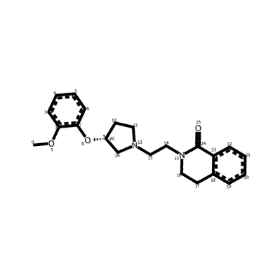 COc1ccccc1O[C@@H]1CCN(CCN2CCc3ccccc3C2=O)C1